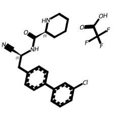 N#C[C@H](Cc1ccc(-c2cccc(Cl)c2)cc1)NC(=O)[C@@H]1CCCCN1.O=C(O)C(F)(F)F